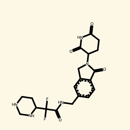 O=C1CCC(N2Cc3cc(CNC(=O)C(F)(F)C4CCNCN4)ccc3C2=O)C(=O)N1